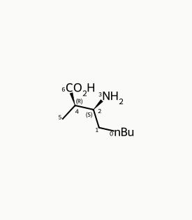 CCCCC[C@H](N)[C@@H](C)C(=O)O